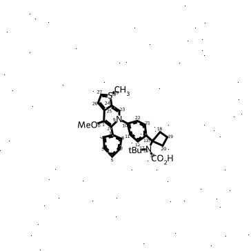 COC1=C(c2ccccc2)N(c2ccc(C3(N(C(=O)O)C(C)(C)C)CCC3)cc2)C=C2C1=CC=S2C